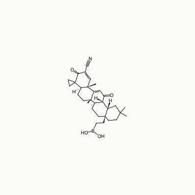 CC1(C)CC[C@]2(CCB(O)O)CC[C@]3(C)[C@H](C(=O)C=C4[C@@]5(C)C=C(C#N)C(=O)C6(CC6)[C@@H]5CC[C@]43C)[C@@H]2C1